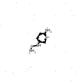 NSBc1ccc(N)nc1